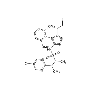 COc1cccc(OC)c1-n1c(CCF)nnc1NS(=O)(=O)C(C)C(OC)c1ncc(Cl)cn1